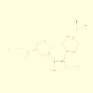 COC(=O)c1ccnc(C2=C(c3ccc(C4CC4)cc3)N(C)CN2)c1